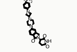 Nc1ccc(N2CC(N3CCN(c4ccc5c(c4)CN(C4CCC(=O)NC4=O)C5=O)CC3)C2)cc1